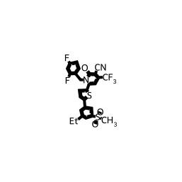 CCc1cc(-c2ccc(-c3cc(C(F)(F)F)c(C#N)c(=O)n3Cc3ccc(F)cc3F)s2)cc(S(C)(=O)=O)c1